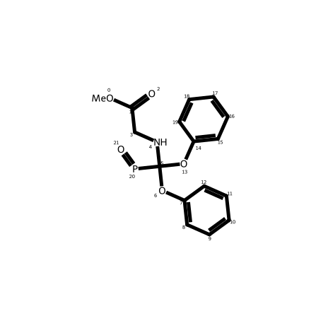 COC(=O)CNC(Oc1ccccc1)(Oc1ccccc1)P=O